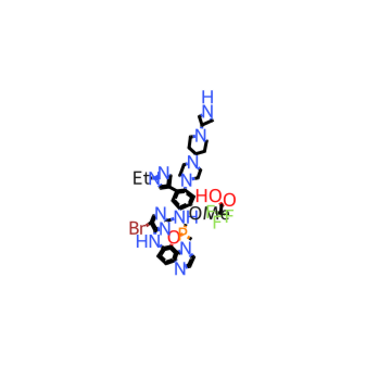 CCn1cc(-c2cc(Nc3ncc(Br)c(Nc4ccc5nccnc5c4OP(C)C)n3)c(OC)cc2N2CCN(C3CCN(C4CNC4)CC3)CC2)cn1.O=C(O)C(F)(F)F